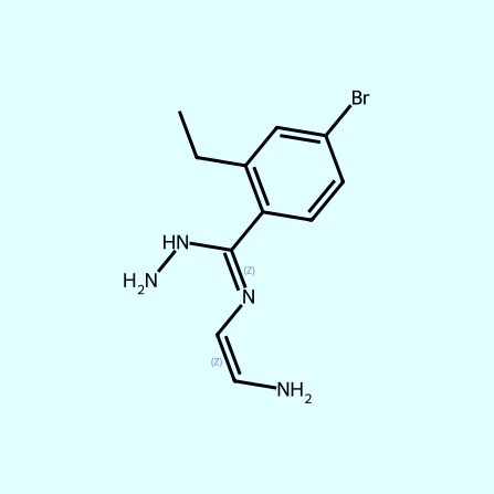 CCc1cc(Br)ccc1/C(=N/C=C\N)NN